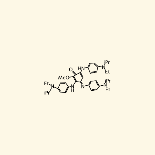 CCN(c1ccc(N=C2C=C(Nc3ccc(N(CC)C(C)C)cc3)C(=O)C(OC)=C2Nc2ccc(N(CC)C(C)C)cc2)cc1)C(C)C